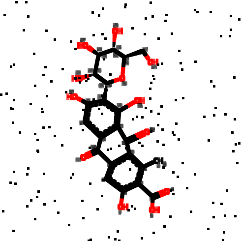 Cc1c(C(=O)O)c(O)cc2c1C(=O)c1c(cc(O)c([C@H]3O[C@H](CO)[C@@H](O)[C@H](O)[C@H]3O)c1O)C2=O